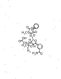 CC(=O)O.C[C@H](NP(=O)(OCC1O[C@@H](N2C=C(C(N)=O)C=CC2)[C@@H]2OC(C)(C)O[C@H]12)Oc1ccccc1)C(=O)O